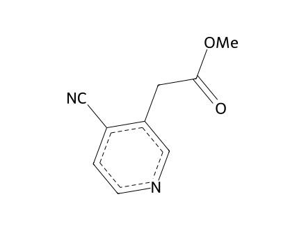 COC(=O)Cc1cnccc1C#N